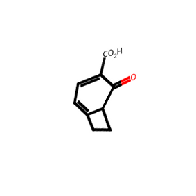 O=C(O)C1=CC=C2CCC2C1=O